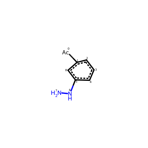 CC(=O)c1cccc(NN)c1